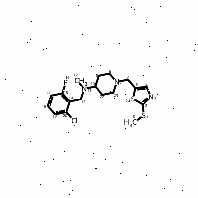 CSc1ncc(CN2CCC(N(C)Cc3c(F)cccc3Cl)CC2)s1